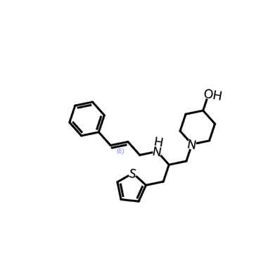 OC1CCN(CC(Cc2cccs2)NC/C=C/c2ccccc2)CC1